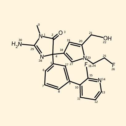 CN1C(=O)C(c2cccc(-c3cccnc3F)c2)(c2cc(CO)n(CCF)c2)N=C1N